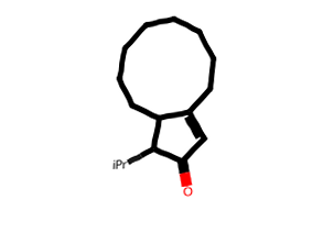 CC(C)C1C(=O)C=C2CCCCCCCCC21